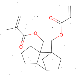 C=CC(=O)OCC12CCC(C1)C1CCCC12COC(=O)C(=C)C